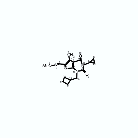 CN/N=C/c1sc2c(c1C)c(=O)n(C1CC1)c(=O)n2CC1CCC1